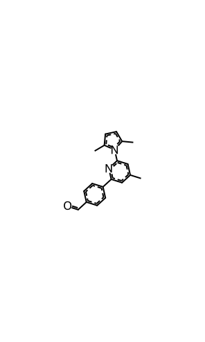 Cc1cc(-c2ccc(C=O)cc2)nc(-n2c(C)ccc2C)c1